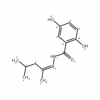 CC(CC(C)C)=NNC(=O)c1cc(O)ccc1O